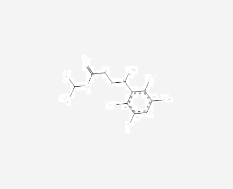 CCCC(F)OC(=O)CCC(C#N)c1c(F)c(F)cc(F)c1F